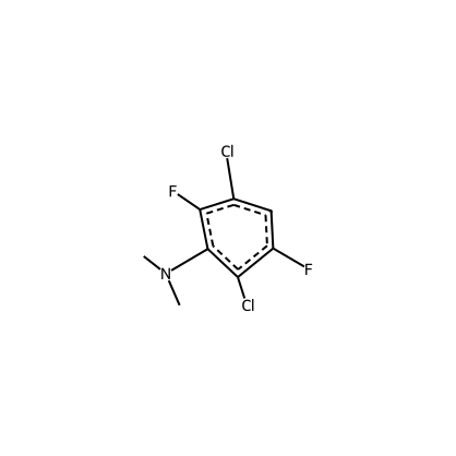 CN(C)c1c(F)c(Cl)cc(F)c1Cl